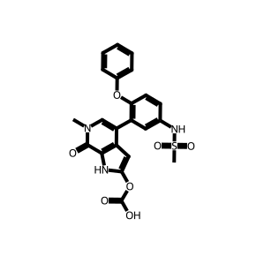 Cn1cc(-c2cc(NS(C)(=O)=O)ccc2Oc2ccccc2)c2cc(OC(=O)O)[nH]c2c1=O